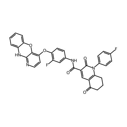 O=C1CCCc2c1cc(C(=O)Nc1ccc(Oc3ccnc4c3Oc3ccccc3N4)c(F)c1)c(=O)n2-c1ccc(F)cc1